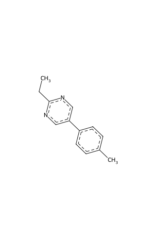 CCc1ncc(-c2ccc(C)cc2)cn1